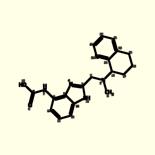 CN(Cc1nc2c(NC(=O)O)cccc2[nH]1)C1CCCc2cccnc21